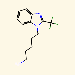 NCCCCCn1c(C(F)(F)F)nc2ccccc21